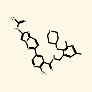 CC(=O)Nc1cn2nc(-c3cnc(C)c(C(=O)NCc4cc(F)cc(F)c4OC4CCOCC4)c3)ccc2n1